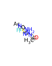 CC(=O)N1CC(F)(F)c2c(Sc3ncc(N4CCC5(CC4)COC[C@H]5C)nc3N)cccc21